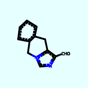 O=Cc1ncn2c1Cc1ccccc1C2